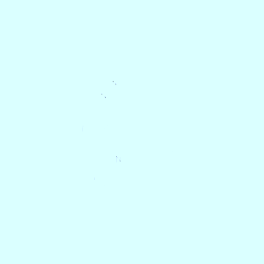 C1COCCN1.CCOC1=C(c2ccc(Cl)cc2)CN=N1